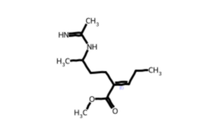 CC/C=C(\CCC(C)NC(C)=N)C(=O)OC